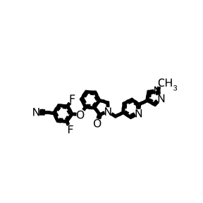 Cn1cc(-c2ccc(CN3Cc4cccc(Oc5c(F)cc(C#N)cc5F)c4C3=O)cn2)cn1